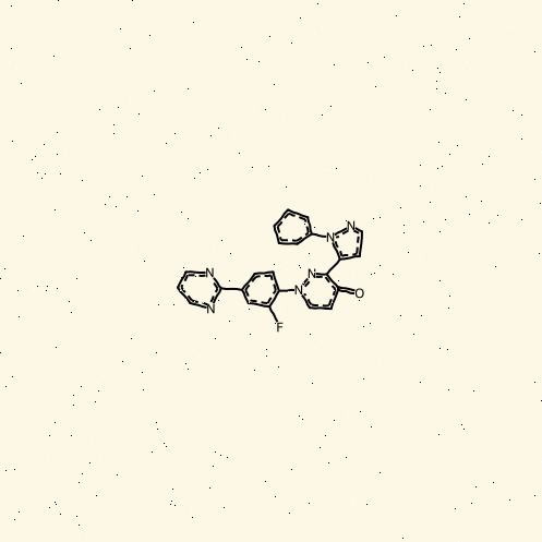 O=c1ccn(-c2ccc(-c3ncccn3)cc2F)nc1-c1ccnn1-c1ccccc1